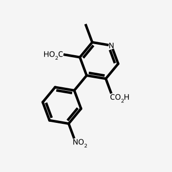 Cc1ncc(C(=O)O)c(-c2cccc([N+](=O)[O-])c2)c1C(=O)O